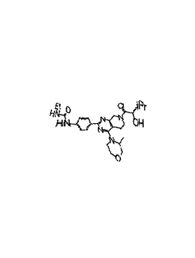 CCNC(=O)Nc1ccc(-c2nc3c(c(N4CCOCC4C)n2)CCN(C(=O)C(O)C(C)C)C3)cc1